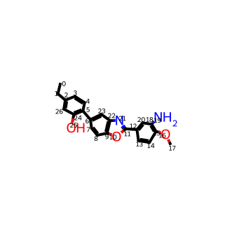 CCc1ccc(-c2ccc3oc(-c4ccc(OC)c(N)c4)nc3c2)c(O)c1